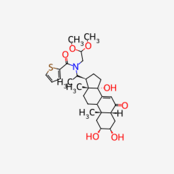 COC(CN(C(=O)c1cccs1)C(C)[C@H]1CC[C@@]2(O)C3=CC(=O)[C@@H]4C[C@@H](O)[C@@H](O)C[C@]4(C)C3CC[C@]12C)OC